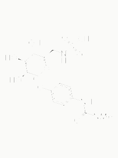 CNC(=O)Nc1ccc(O[C@H]2O[C@H](CNS(C)(=O)=O)[C@@H](O)[C@H](O)[C@@H]2O)cc1